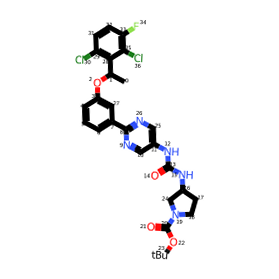 CC(Oc1cccc(-c2ncc(NC(=O)NC3CCN(C(=O)OC(C)(C)C)C3)cn2)c1)c1c(Cl)ccc(F)c1Cl